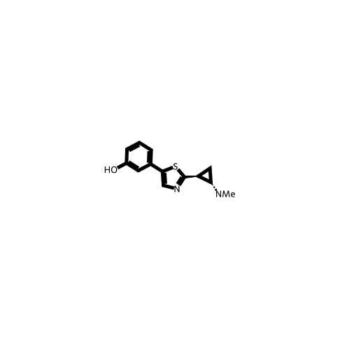 CN[C@H]1C[C@@H]1c1ncc(-c2cccc(O)c2)s1